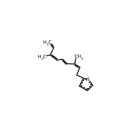 C=CC(C)=CC=CC(C)=CCc1cccs1